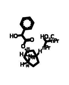 CCCC(CCC)C(=O)O.CN1[C@@H]2CC[C@H]1C[C@@H](OC(=O)C(O)c1ccccc1)C2